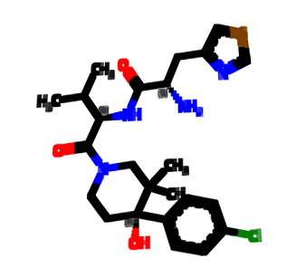 CC(C)[C@@H](NC(=O)[C@@H](N)Cc1cscn1)C(=O)N1CC[C@](O)(c2ccc(Cl)cc2)C(C)(C)C1